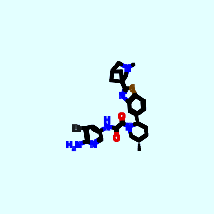 CCc1cc(NC(=O)C(=O)N2C[C@@H](C)CC[C@@H]2c2ccc3sc(C45CC(CN(C)C4)C5)nc3c2)cnc1N